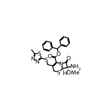 CO[C@@]1(N)C(=O)N2C(C(=O)OC(c3ccccc3)c3ccccc3)=C(CSc3nnc(C)s3)CS[C@@H]21